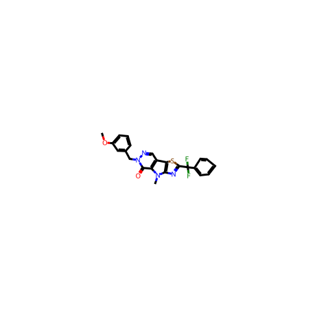 COc1cccc(Cn2ncc3c4sc(C(F)(F)c5ccccc5)nc4n(C)c3c2=O)c1